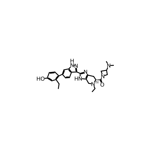 CCc1cc(O)ccc1-c1ccc2c(-c3nc4c([nH]3)CN(CC)[C@H](C(=O)N3CC(N(C)C)C3)C4)n[nH]c2c1